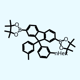 CCCCCCc1cccc(C2(c3cccc(C)c3)c3cc(B4OC(C)(C)C(C)(C)O4)ccc3-c3ccc(B4OC(C)(C)C(C)(C)O4)cc32)c1